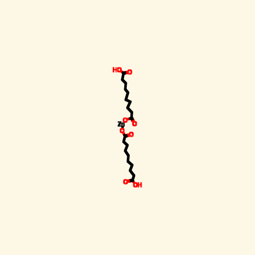 O=C(O)CCCCCCCCC(=O)[O][Zn][O]C(=O)CCCCCCCCC(=O)O